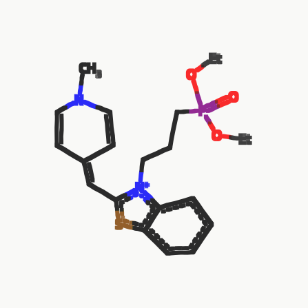 CCOP(=O)(CCC[n+]1c(C=C2C=CN(C)C=C2)sc2ccccc21)OCC